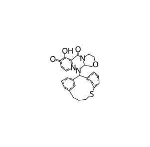 O=C1c2c(O)c(=O)ccn2N(C2c3cccc(c3)CCCSc3cccc2c3)C2COCCN12